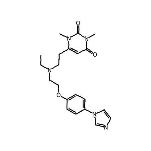 CCN(CCOc1ccc(-n2ccnc2)cc1)CCc1cc(=O)n(C)c(=O)n1C